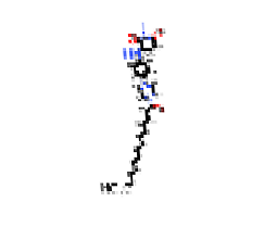 O=C(O)CCCCCCCCCCCCC(=O)N1CCN(c2ccc(N[C@H]3CCC(=O)NC3=O)cc2)CC1